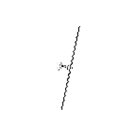 CCCCCCCCCCCCCCCCCCOCCCCCCCCCCCCCCCCCC.COC.NC(N)=O